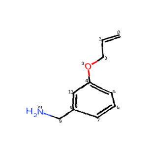 C=CCOc1cccc(CN)c1